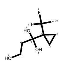 OCCC(O)(O)C1(C(F)(F)F)CC1